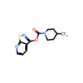 O=C(Oc1nsc2ncccc12)N1CCC(C(F)(F)F)CC1